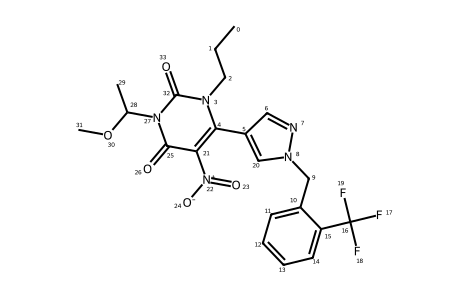 CCCn1c(-c2cnn(Cc3ccccc3C(F)(F)F)c2)c([N+](=O)[O-])c(=O)n(C(C)OC)c1=O